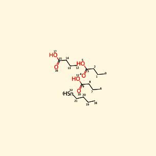 CCCC(=O)O.CCCC(=O)O.CCCC(=O)O.CCC[CH2][SnH]